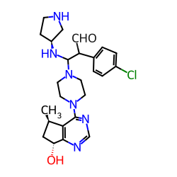 C[C@@H]1C[C@@H](O)c2ncnc(N3CCN(C(N[C@H]4CCNC4)C(C=O)c4ccc(Cl)cc4)CC3)c21